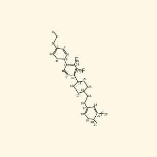 CCCc1ccc(-c2ccc(C3CCC(CCC4=CCC(C)C(F)=C4)CC3)c(F)c2F)cc1